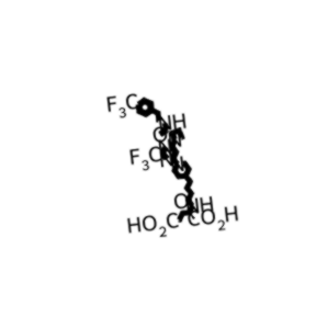 O=C(O)CC[C@@H](NC(=O)CCCC1CCN(c2cc(N3CC[C@H]3C(=O)NCCc3ccc(C(F)(F)F)cc3)nc(C(F)(F)F)n2)CC1)C(=O)O